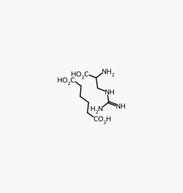 N=C(N)NCC(N)C(=O)O.O=C(O)CCCCC(=O)O